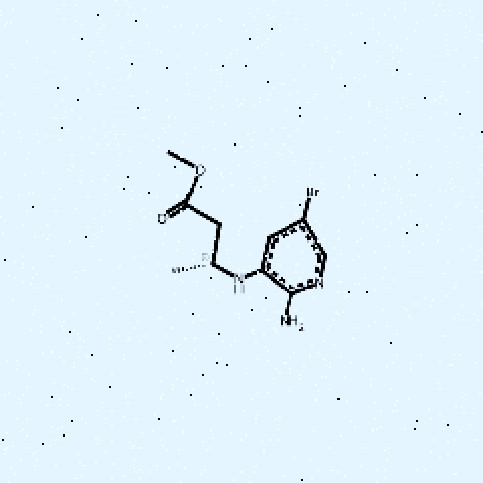 COC(=O)C[C@@H](C)Nc1cc(Br)cnc1N